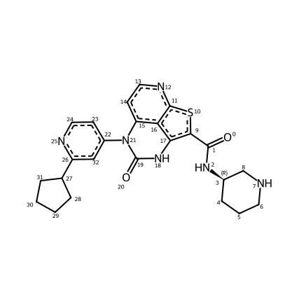 O=C(N[C@@H]1CCCNC1)c1sc2nccc3c2c1NC(=O)N3c1ccnc(C2CCCC2)c1